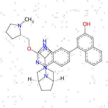 CN1CCC[C@H]1COc1nc(N2[C@@H]3CC[C@H]2CN(C2CNC2)C3)c2ccc(-c3cc(O)cc4ccccc34)cc2n1